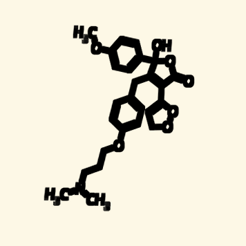 COc1ccc(C2(O)OC(=O)C(C3=CCOO3)=C2Cc2ccc(OCCCN(C)C)cc2)cc1